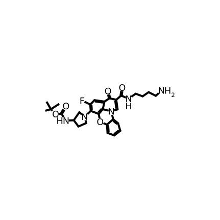 CC(C)(C)OC(=O)NC1CCN(c2c(F)cc3c(=O)c(C(=O)NCCCCN)cn4c3c2Oc2ccccc2-4)C1